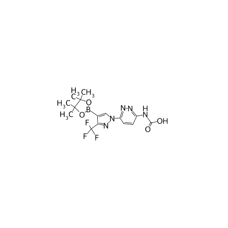 CC1(C)OB(c2cn(-c3ccc(NC(=O)O)nn3)nc2C(F)(F)F)OC1(C)C